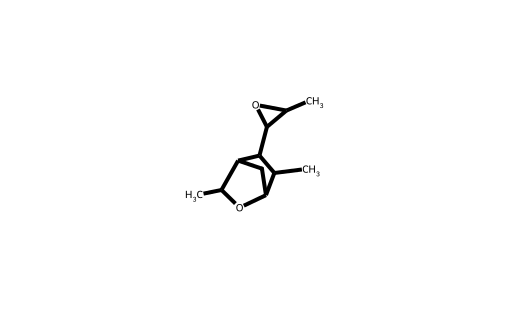 CC1OC2CC1C(C1OC1C)C2C